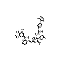 COc1cc(Nc2ncccc2/C=C/C(=O)N[C@H](C(=O)N2CC(C)C[C@H]2C(=O)NCc2ccc(-c3scnc3C)cc2)C(C)C)cc(OC)c1OC